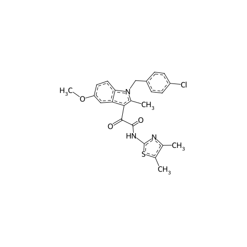 COc1ccc2c(c1)c(C(=O)C(=O)Nc1nc(C)c(C)s1)c(C)n2Cc1ccc(Cl)cc1